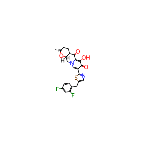 C[C@@H]1CCC2C(=O)c3c(O)c(=O)c(-c4ncc(Cc5ccc(F)cc5F)s4)cn3C[C@@H]2O1